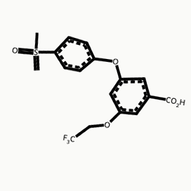 C=S(C)(=O)c1ccc(Oc2cc(OCC(F)(F)F)cc(C(=O)O)c2)cc1